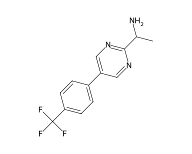 CC(N)c1ncc(-c2ccc(C(F)(F)F)cc2)cn1